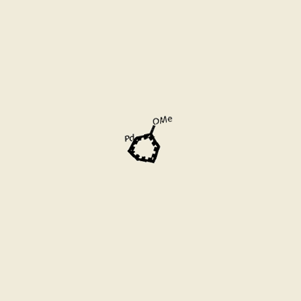 COc1ccccc1.[Pd]